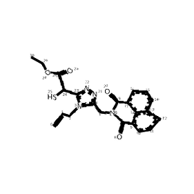 C=CCn1c(CN2C(=O)c3cccc4cccc(c34)C2=O)nnc1C(S)C(=O)OCC